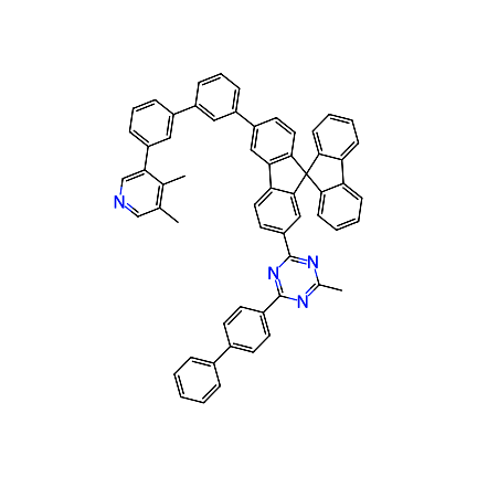 Cc1nc(-c2ccc(-c3ccccc3)cc2)nc(-c2ccc3c(c2)C2(c4ccccc4-c4ccccc42)c2ccc(-c4cccc(-c5cccc(-c6cncc(C)c6C)c5)c4)cc2-3)n1